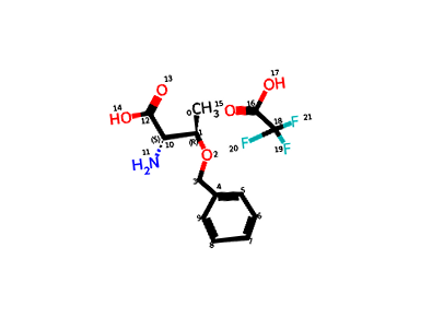 C[C@@H](OCc1ccccc1)[C@H](N)C(=O)O.O=C(O)C(F)(F)F